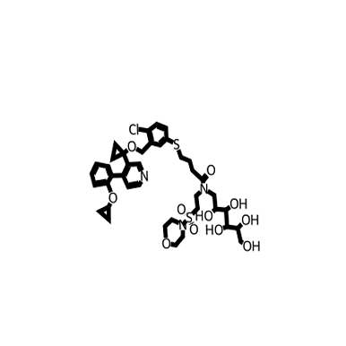 O=C(CCCSc1ccc(Cl)c(COC2(c3cnccc3-c3ccccc3OC3CC3)CC2)c1)N(CCS(=O)(=O)N1CCOCC1)CC(O)C(O)C(O)C(O)CO